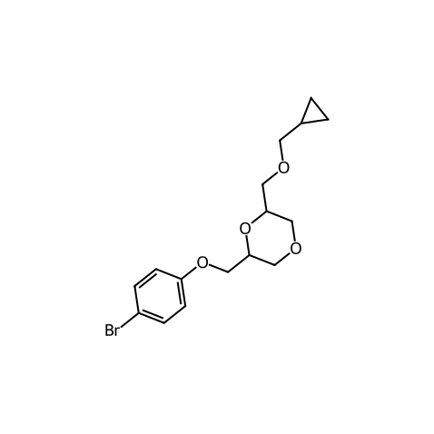 Brc1ccc(OCC2COCC(COCC3CC3)O2)cc1